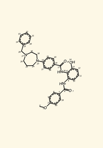 COc1ccc(C(=O)Nc2cccc(O)c2NC(=O)c2ccc(N3CCCN(Cc4ccccc4)CC3)cc2)cc1